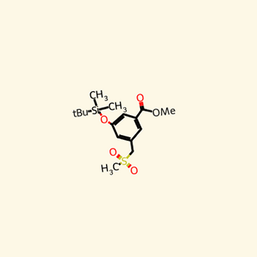 COC(=O)c1cc(CS(C)(=O)=O)cc(O[Si](C)(C)C(C)(C)C)c1